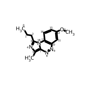 CCCc1nc(C)c2nnc3cc(OC)ccc3n12